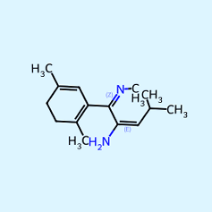 C/N=C(C1=C(C)CCC(C)=C1)\C(N)=C/C(C)C